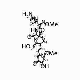 CO/N=C(\C(=O)N[C@@H]1C(=O)N2C(C(=O)O)=C(C=Cc3cc(=O)c(O)cn3OC)CS[C@H]12)c1csc(N)n1